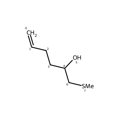 C=CCCC(O)CSC